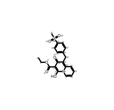 CCOC(=O)c1c(O)n2ccccc2c(Cc2ccc(S(C)(=O)=O)cc2)c1=O